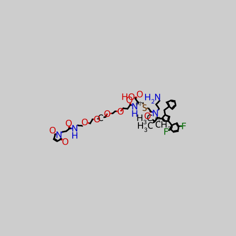 CC(C)(C)[C@H](C1=CC(c2cc(F)ccc2F)=CC1Cc1ccccc1)N(CCCN)C(=O)CSC[C@H](NC(=O)CCOCCOCCOCCOCCNC(=O)CCN1C(=O)C=CC1=O)C(=O)O